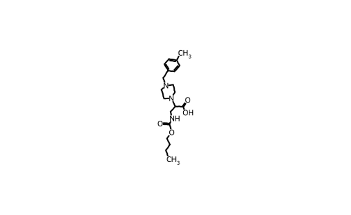 CCCCOC(=O)NCC(C(=O)O)N1CCN(Cc2ccc(C)cc2)CC1